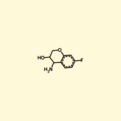 NC1c2ccc(F)cc2OCC1O